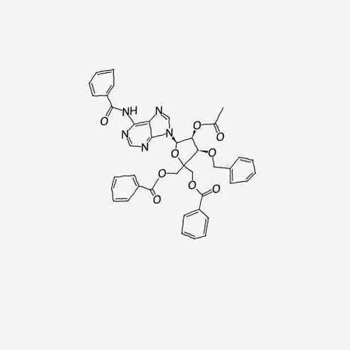 CC(=O)O[C@@H]1[C@H](n2cnc3c(NC(=O)c4ccccc4)ncnc32)OC(COC(=O)c2ccccc2)(COC(=O)c2ccccc2)[C@@H]1OCc1ccccc1